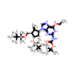 C=C1[C@H](CO[Si](C)(C)C(C)(C)C)[C@@H](O[Si](C)(C)C(C)(C)C)C[C@@H]1n1cnc2c(OCC)nc(NC(=O)OC(C)(C)C)nc21